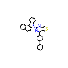 c1ccc(-c2ccc(-c3nc(-n4c5ccccc5c5c6ccccc6ccc54)nc4cscc34)cc2)cc1